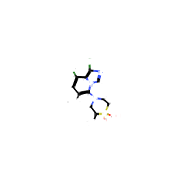 CC1CN(c2c(C=O)cc(Cl)c3c(Cl)ncn23)CCS1(O)O